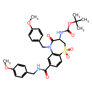 COc1ccc(CNC(=O)c2ccc3c(c2)N(Cc2ccc(OC)cc2)C(=O)[C@@H](NC(=O)OC(C)(C)C)CS3(=O)=O)cc1